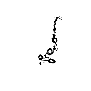 CCOc1ccccc1-n1c(CN2CCN(C(=O)COc3ccc(COCCCCCCN)cc3)CC2)nc2ccccc2c1=O